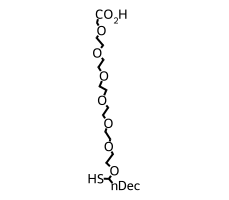 CCCCCCCCCCC(S)OCCOCCOCCOCCOCCOCCOCC(=O)O